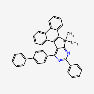 C[Si]1(C)c2nc(-c3ccccc3)nc(-c3ccc(-c4ccccc4)cc3)c2-c2c1c1ccccc1c1ccccc21